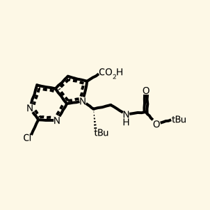 CC(C)(C)OC(=O)NC[C@@H](n1c(C(=O)O)cc2cnc(Cl)nc21)C(C)(C)C